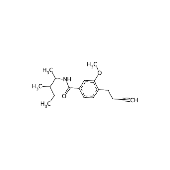 C#CCCc1ccc(C(=O)NC(C)C(C)CC)cc1OC